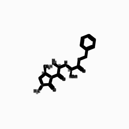 CCCCCCCC[C@H](N[C@H](C)C(=O)N1C(=O)N(C)C[C@H]1C(=O)O)C(=O)OCc1ccccc1